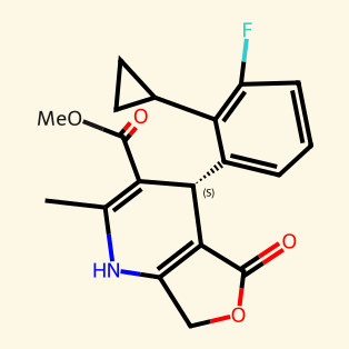 COC(=O)C1=C(C)NC2=C(C(=O)OC2)[C@H]1c1cccc(F)c1C1CC1